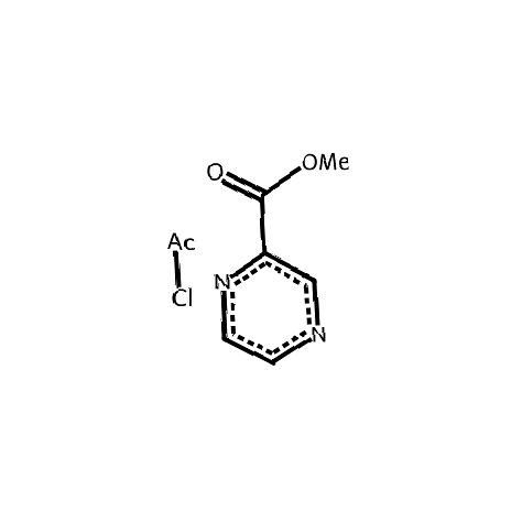 CC(=O)Cl.COC(=O)c1cnccn1